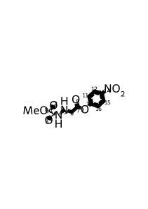 COS(=O)(=O)NNCC(=O)Oc1ccc([N+](=O)[O-])cc1